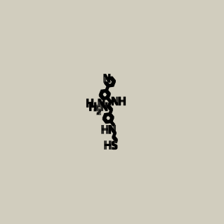 N=C(/C(N)=C/c1cccc(CNC/C=C/S)c1)c1cc(-c2cccnc2)ccc1N